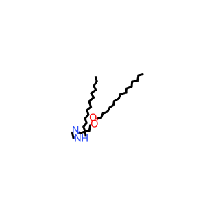 CCCCCCCCCCCCCCCC(=O)OCCC(C)(CCCCCCCCCCCCC)C1=NCCN1